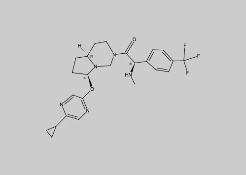 CN[C@@H](C(=O)N1CC[C@@H]2CC[C@H](Oc3cnc(C4CC4)cn3)N2C1)c1ccc(C(F)(F)F)cc1